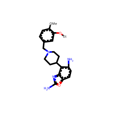 CCOc1cc(CN2CCC(c3c(N)ccc4oc(N)nc34)CC2)ccc1OC